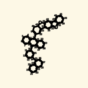 C1=C(c2c3ccccc3c(-c3cccc(-c4cccc5ccccc45)c3)c3ccccc23)C=C2c3cc4oc5ccccc5c4cc3OC2C1